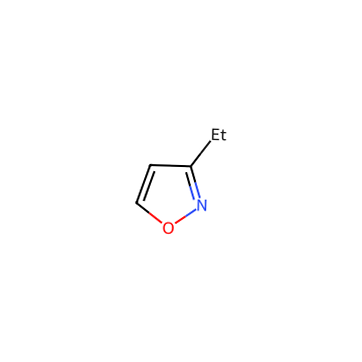 [CH2]Cc1ccon1